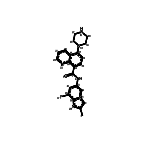 Cc1cn2cc(NC(=O)c3ccc(N4CCNCC4)c4cccnc34)cc(F)c2n1